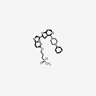 CS(=O)(=O)CCCOc1ccc2ncc(-c3cc4c(N5CCN(c6ccccc6)CC5)nccc4o3)n2n1